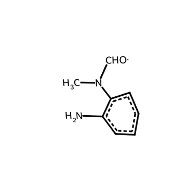 CN([C]=O)c1ccccc1N